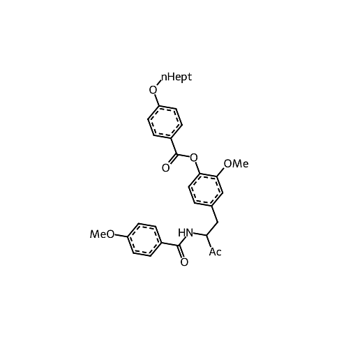 CCCCCCCOc1ccc(C(=O)Oc2ccc(CC(NC(=O)c3ccc(OC)cc3)C(C)=O)cc2OC)cc1